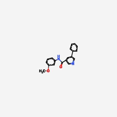 COc1cccc(NC(=O)c2cncc(-c3ccccc3)c2)c1